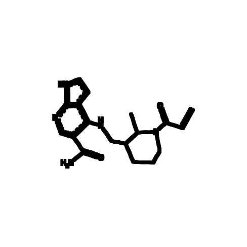 C=CC(=O)N1CCCC(CNc2c(C(N)=O)cnc3[nH]ccc23)C1C